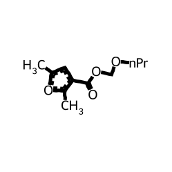 CCCOCOC(=O)c1cc(C)oc1C